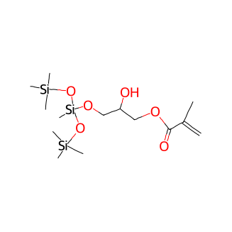 C=C(C)C(=O)OCC(O)CO[Si](C)(O[Si](C)(C)C)O[Si](C)(C)C